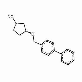 N#CN1CC[C@H](OCc2ccc(-c3ccccc3)cc2)C1